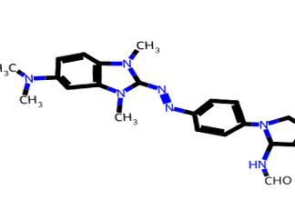 CN(C)c1ccc2c(c1)N(C)C(N=Nc1ccc(N3CCCC3NC=O)cc1)N2C